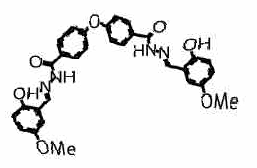 COc1ccc(O)c(/C=N/NC(=O)c2ccc(Oc3ccc(C(=O)N/N=C/c4cc(OC)ccc4O)cc3)cc2)c1